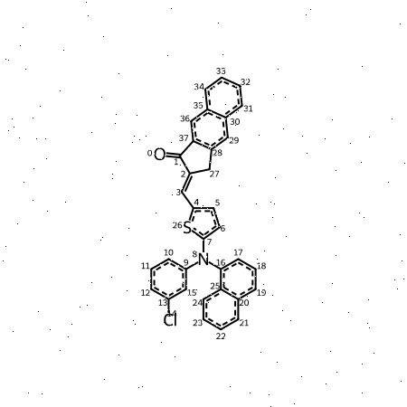 O=C1/C(=C/c2ccc(N(c3cccc(Cl)c3)c3cccc4ccccc34)s2)Cc2cc3ccccc3cc21